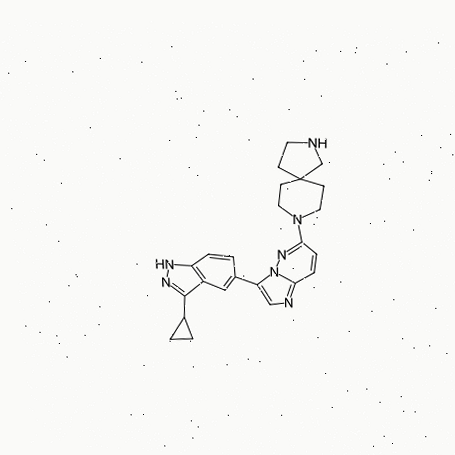 c1cc2[nH]nc(C3CC3)c2cc1-c1cnc2ccc(N3CCC4(CCNC4)CC3)nn12